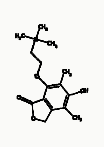 Cc1c(O)c(C)c(OCC[Si](C)(C)C)c2c1COC2=O